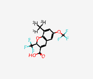 [2H]C([2H])([2H])c1cc(OC(F)(F)F)cc2c1OC(C(F)(F)F)C(C(=O)O)=C2